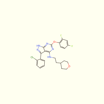 Fc1ccc(Oc2nc(NCCC3CCOCC3)c3c(-c4ccccc4Cl)n[nH]c3n2)c(F)c1